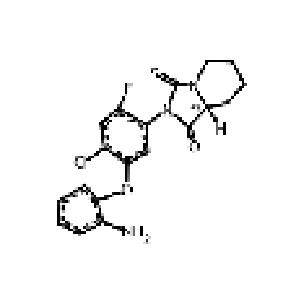 Nc1ccccc1Oc1cc(N2C(=O)[C@H]3CCCCN3C2=S)c(F)cc1Cl